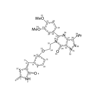 C=c1[nH]c(=O)/c(=C(/C)c2cccc(OCCn3c(-c4ccc(OC)c(OC)c4)nc4c(CCC)nn(C)c4c3=O)c2)s1